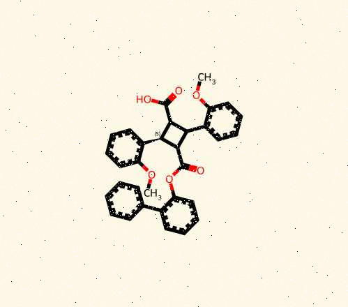 COc1ccccc1C1C(C(=O)O)[C@H](c2ccccc2OC)C1C(=O)Oc1ccccc1-c1ccccc1